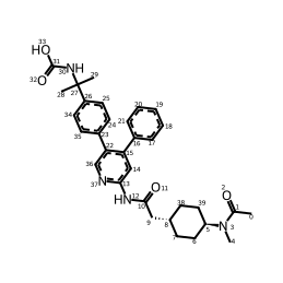 CC(=O)N(C)[C@H]1CC[C@H](CC(=O)Nc2cc(-c3ccccc3)c(-c3ccc(C(C)(C)NC(=O)O)cc3)cn2)CC1